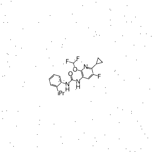 CC(C)c1ccccc1NC(=O)Nc1cc(F)c(C2CC2)nc1OC(F)F